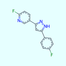 Fc1ccc(-c2cc(-c3ccc(F)nc3)n[nH]2)cc1